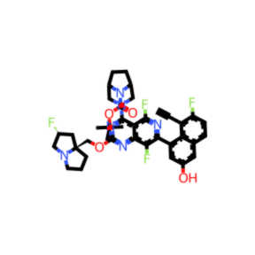 C#Cc1c(F)ccc2cc(O)cc(-c3nc(F)c4c(N5CC6CCC(C5)N6C(=O)OC(C)(C)C)nc(OC[C@@]56CCCN5C[C@H](F)C6)nc4c3F)c12